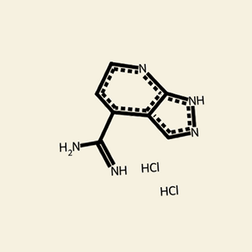 Cl.Cl.N=C(N)c1ccnc2[nH]ncc12